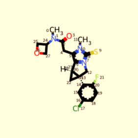 CN(C(=O)Cc1c2n(c(=S)n1C)C[C@@]1(c3cc(Cl)ccc3F)C[C@@H]21)C1COC1